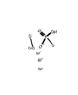 O=C[O-].O=P([O-])([O-])O.[Na+].[Na+].[Na+]